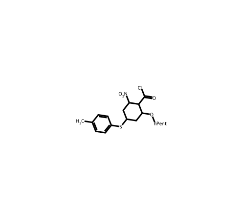 CCCCCOC1CC(Sc2ccc(C)cc2)CC([N+](=O)[O-])C1C(=O)Cl